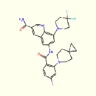 NC(=O)c1cnc2c(N3CCC(F)(F)CC3)cc(NC(=O)c3ccc(I)cc3N3CCC4(CC3)CC4)cc2c1